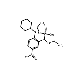 CCOC(c1cc([N+](=O)[O-])ccc1SC1CCCCC1)P(=O)(O)OCC